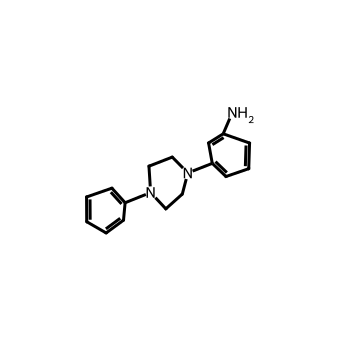 Nc1cccc(N2CCN(c3ccccc3)CC2)c1